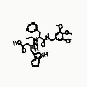 CCN(N[C@H](CC(=O)O)Cc1c[nH]c2ccccc12)C(Cc1ccccc1)C(=O)N(C)Cc1cc(OC)c(OC)c(OC)c1